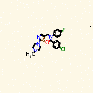 CN1CCN(c2ncc(CN(C(=O)c3ccc(Cl)cc3)c3ccc(F)cc3)s2)CC1